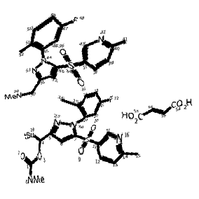 CNC(=O)OC(c1cc(S(=O)(=O)c2ccc(C)nc2)n(-c2cc(F)ccc2C)n1)C(C)(C)C.CNCc1cc(S(=O)(=O)c2ccc(C)nc2)n(-c2cc(F)ccc2C)n1.O=C(O)C=CC(=O)O